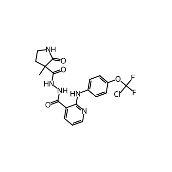 CC1(C(=O)NNC(=O)c2cccnc2Nc2ccc(OC(F)(F)Cl)cc2)CCNC1=O